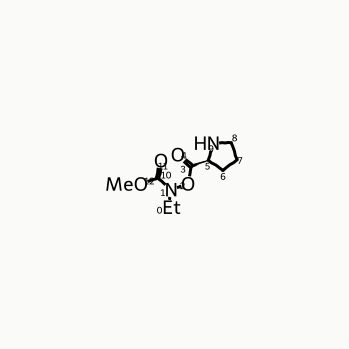 CCN(OC(=O)[C@@H]1CCCN1)C(=O)OC